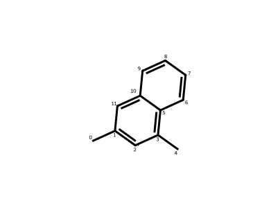 Cc1[c]c(C)c2ccccc2c1